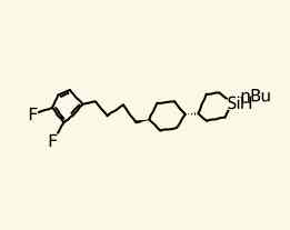 CCCC[SiH]1CCC([C@H]2CC[C@H](CCCCc3ccc(F)c(F)c3)CC2)CC1